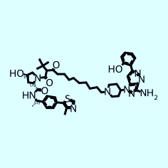 Cc1ncsc1-c1ccc([C@H](C)NC(=O)[C@@H]2C[C@@H](O)CN2C(=O)C(C(=O)CCCCCCCCCN2CCC(n3nc(N)c4nnc(-c5ccccc5O)cc43)CC2)C(C)(C)C)cc1